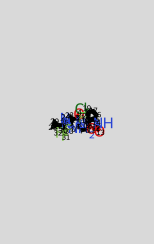 Nc1c(C(=O)N2CCC[C@@]3(C2)OC(=O)Nc2ccc(Cl)c(F)c23)cnn1C(C1CC1)C(F)(F)F